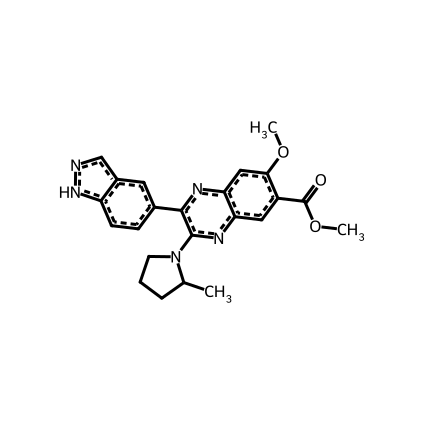 COC(=O)c1cc2nc(N3CCCC3C)c(-c3ccc4[nH]ncc4c3)nc2cc1OC